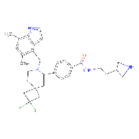 COc1cc(C)c2[nH]ccc2c1CN1CCC2(CC1c1ccc(C(=O)NCCC3CNC3)cc1)CC(F)(F)C2